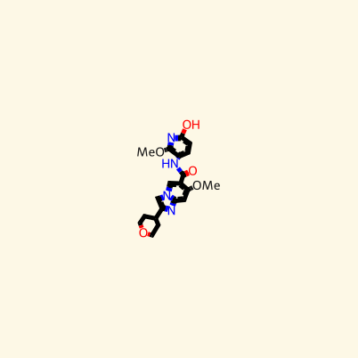 COc1cc2nc(C3CCOCC3)cn2cc1C(=O)Nc1ccc(O)nc1OC